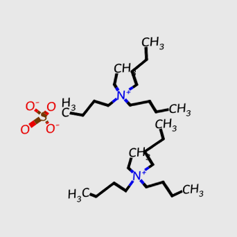 CCCC[N+](CC)(CCCC)CCCC.CCCC[N+](CC)(CCCC)CCCC.O=S(=O)([O-])[O-]